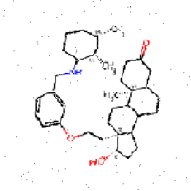 C[C@@H]1C(NCc2cccc(OCC[C@]34CCC5C(CCC6CC(=O)CC[C@@]65C)C3CC[C@@H]4O)c2)CCC[C@@H]1C